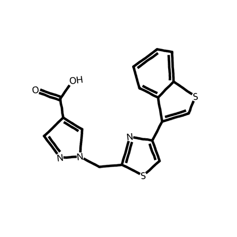 O=C(O)c1cnn(Cc2nc(-c3csc4ccccc34)cs2)c1